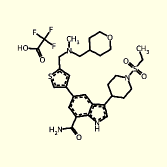 CCS(=O)(=O)N1CCC(c2c[nH]c3c(C(N)=O)cc(-c4csc(CN(C)CC5CCOCC5)c4)cc23)CC1.O=C(O)C(F)(F)F